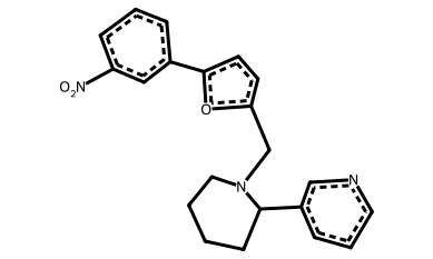 O=[N+]([O-])c1cccc(-c2ccc(CN3CCCCC3c3cccnc3)o2)c1